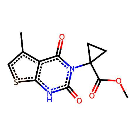 COC(=O)C1(n2c(=O)[nH]c3scc(C)c3c2=O)CC1